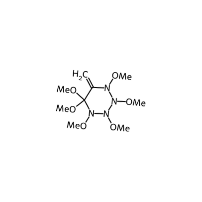 C=C1N(OC)N(OC)N(OC)N(OC)C1(OC)OC